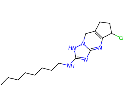 CCCCCCCCNC1=NC2=NC3=C(CCC3Cl)CN2N1